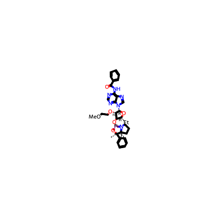 CC[C@H]1O[C@@H](n2cnc3c(NC(=O)c4ccccc4)ncnc32)[C@@H](OCCOC)C1O[P@@]1O[C@](C)(c2ccccc2)[C@@H]2CCCN21